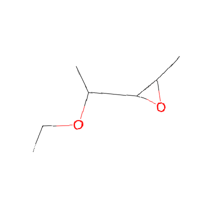 CCOC(C)C1OC1C